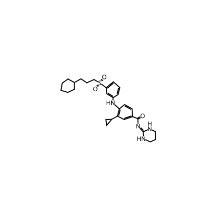 O=C(N=C1NCCCN1)c1ccc(Nc2cccc(S(=O)(=O)CCCC3CCCCC3)c2)c(C2CC2)c1